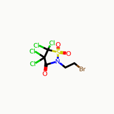 O=C1N(CCBr)S(=O)(=O)C(Cl)(Cl)C1(Cl)Cl